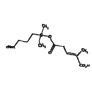 CCCCCCCCCCCC[Si](C)(C)OC(=O)CC=C(C)C(=O)O